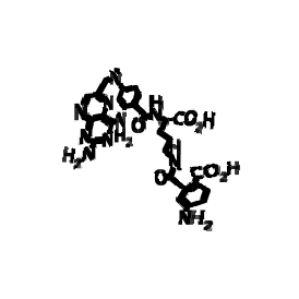 CN(Cc1cnc2nc(N)nc(N)c2n1)c1ccc(C(=O)N[C@@H](CCCNC(=O)c2cc(N)ccc2C(=O)O)C(=O)O)cc1